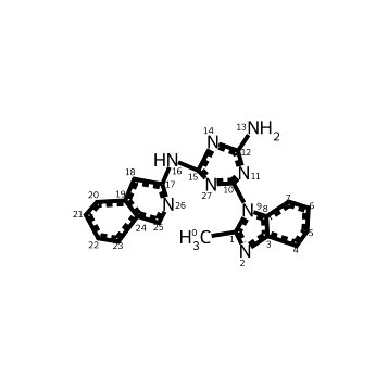 Cc1nc2ccccc2n1-c1nc(N)nc(Nc2cc3ccccc3cn2)n1